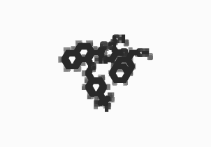 CCC1CC2CCC[C@@](C(NC(=O)c3ccc4ccccc4c3OCc3ccc(C(F)(F)F)cc3)C(=O)OC)(C1)C2